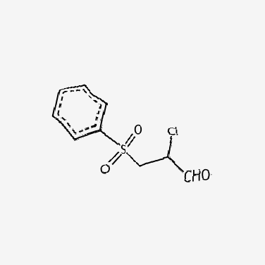 O=[C]C(Cl)CS(=O)(=O)c1ccccc1